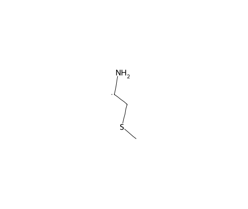 CSC[CH]N